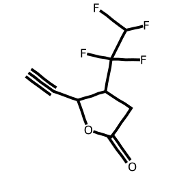 C#CC1OC(=O)CC1C(F)(F)C(F)F